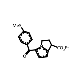 CCOC(=O)C1CCn2c(C(=O)c3ccc(SC)cc3)ccc21